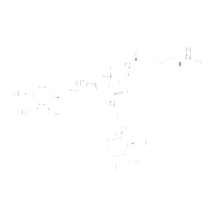 C[C@@H]1O[C@@H](OCCNC(=O)CC2(CC(=O)NCCO[C@@H]3O[C@@H](C)[C@@H](O)[C@@H](O)[C@@H]3O)CCN(C(=O)CCCCC(=O)NBr)CC2)[C@@H](O)[C@H](O)[C@@H]1O